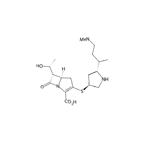 CNCCC(C)[C@H]1C[C@H](SC2=C(C(=O)O)N3C(=O)[C@H]([C@@H](C)O)[C@H]3C2)CN1